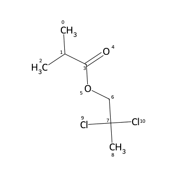 CC(C)C(=O)OCC(C)(Cl)Cl